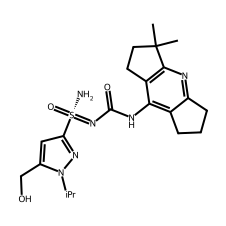 CC(C)n1nc([S@@](N)(=O)=NC(=O)Nc2c3c(nc4c2CCC4(C)C)CCC3)cc1CO